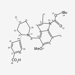 COc1cc(C)c2c(cc(C)n2C(=O)OC(C)(C)C)c1CN1CC[C@@H](C)C[C@H]1c1ccc(C(=O)O)cc1